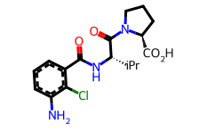 CC(C)[C@H](NC(=O)c1cccc(N)c1Cl)C(=O)N1CCC[C@H]1C(=O)O